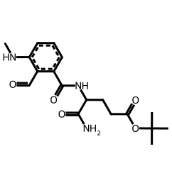 CNc1cccc(C(=O)NC(CCC(=O)OC(C)(C)C)C(N)=O)c1C=O